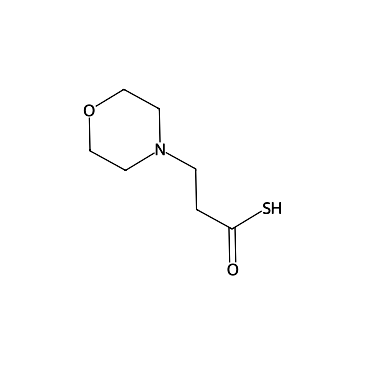 O=C(S)CCN1CCOCC1